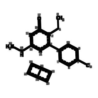 CCn1c(-c2ccc(Cl)cc2)nc(NN)nc1=O.c1cc2ccc1-2